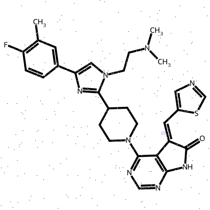 Cc1cc(-c2cn(CCN(C)C)c(C3CCN(c4ncnc5c4/C(=C/c4cncs4)C(=O)N5)CC3)n2)ccc1F